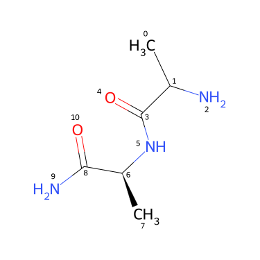 CC(N)C(=O)N[C@@H](C)C(N)=O